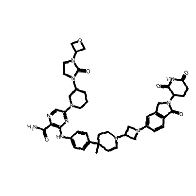 CC1(c2ccc(Nc3nc(N4CCCC(N5CCN(C6COC6)C5=O)C4)cnc3C(N)=O)cc2)CCN(C2CN(c3ccc4c(c3)CN(C3CCC(=O)NC3=O)C4=O)C2)CC1